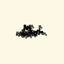 COC(=O)[C@@H](C)Cc1cncc(C(C)(CCCC(C)(C)CS(=O)(=O)CCO[Si](C)(C)C(C)(C)C)C(=O)OC(C)(C)C)n1